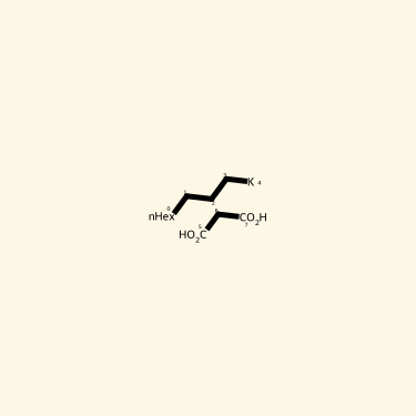 CCCCCCCC[CH2][K].O=C(O)CC(=O)O